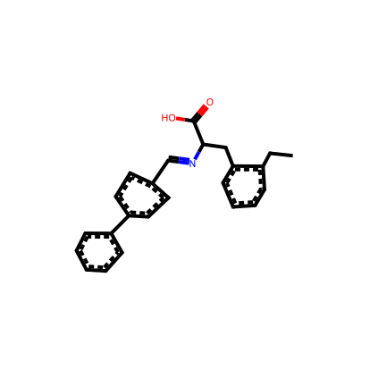 CCc1ccccc1CC(N=Cc1ccc(-c2ccccc2)cc1)C(=O)O